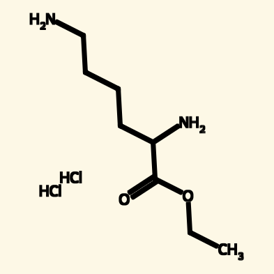 CCOC(=O)C(N)CCCCN.Cl.Cl